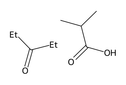 CC(C)C(=O)O.CCC(=O)CC